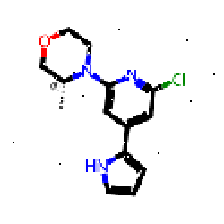 C[C@@H]1COCCN1c1cc(-c2ccc[nH]2)cc(Cl)n1